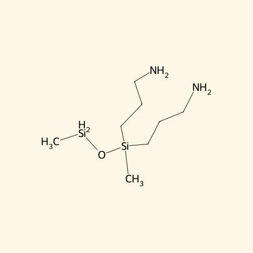 C[SiH2]O[Si](C)(CCCN)CCCN